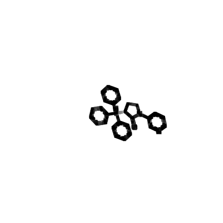 O=C1[C@H]([PH](c2ccccc2)(c2ccccc2)c2ccccc2)CCN1c1cccnc1